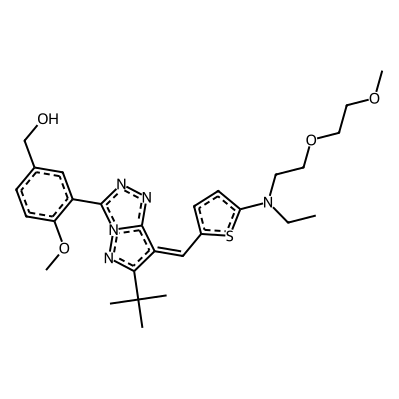 CCN(CCOCCOC)c1ccc(/C=c2/c(C(C)(C)C)nn3c(-c4cc(CO)ccc4OC)nnc23)s1